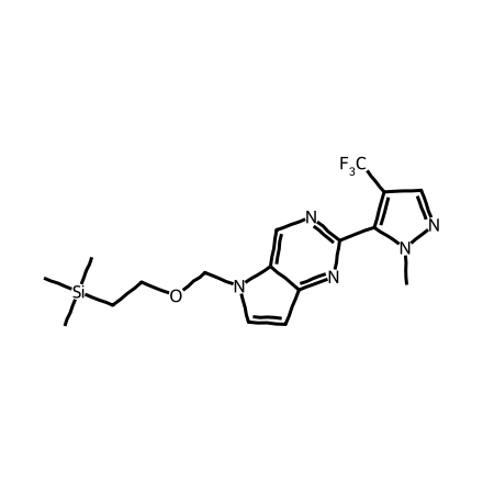 Cn1ncc(C(F)(F)F)c1-c1ncc2c(ccn2COCC[Si](C)(C)C)n1